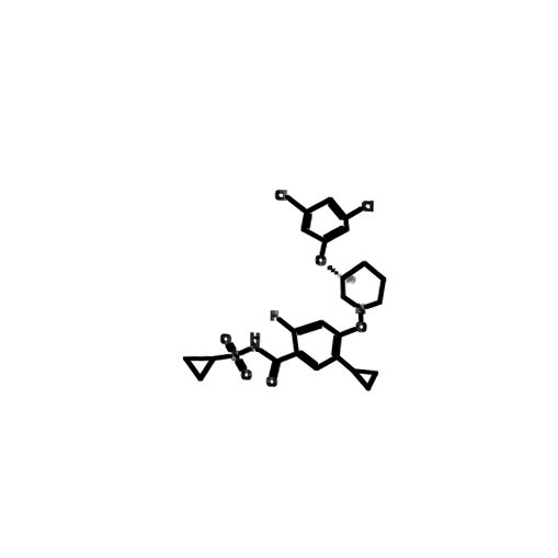 O=C(NS(=O)(=O)C1CC1)c1cc(C2CC2)c(ON2CCC[C@@H](Oc3cc(Cl)cc(Cl)c3)C2)cc1F